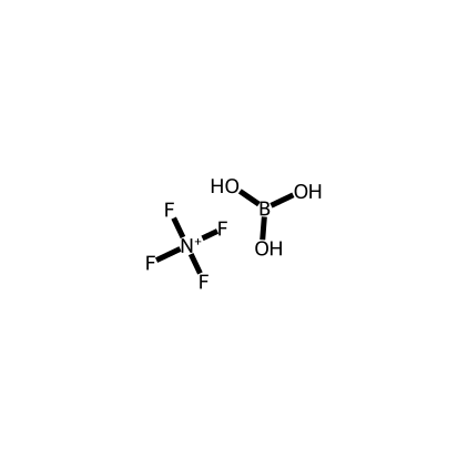 F[N+](F)(F)F.OB(O)O